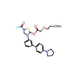 COCCOCC(=O)OC1SN(C(=O)F)CN1c1cccc(-c2ccc(N3CCCC3)cc2)c1